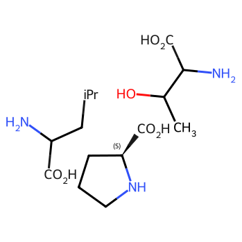 CC(C)CC(N)C(=O)O.CC(O)C(N)C(=O)O.O=C(O)[C@@H]1CCCN1